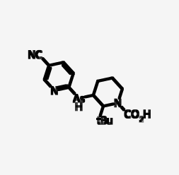 CC(C)(C)C1C([AsH]c2ccc(C#N)cn2)CCCN1C(=O)O